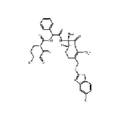 CCN1CCN(C(=O)NC(C(=O)N[C@]2(SC)C(=O)N3C(C(=O)O)=C(CSc4nc5cc(Cl)ccc5s4)CS[C@@H]32)c2ccccc2)C(=O)C1=O